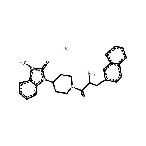 Cl.Cn1c(=O)n(C2CCN(C(=O)C(N)Cc3ccc4ccccc4c3)CC2)c2ccccc21